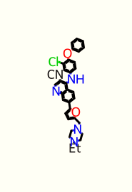 CCN1CCN(Cc2ccc(-c3ccc4c(Nc5ccc(Oc6ccccc6)c(Cl)c5)c(C#N)cnc4c3)o2)CC1